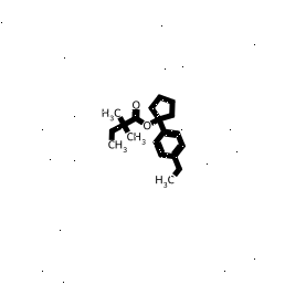 CCc1ccc(C2(OC(=O)C(C)(C)CC)CCCC2)cc1